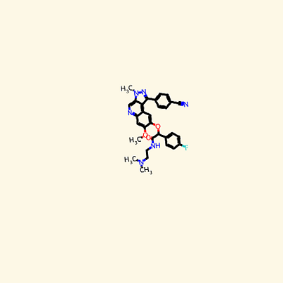 COc1cc2ncc3c(c(-c4ccc(C#N)cc4)nn3C)c2cc1OC(C(=O)NCCN(C)C)c1ccc(F)cc1